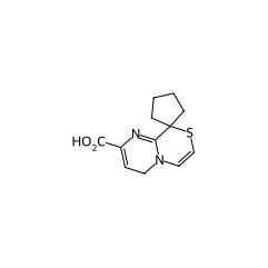 O=C(O)C1=CCN2C=CSC3(CCCC3)C2=N1